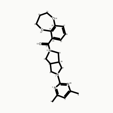 Cc1cc(C)nc(N2CC3CN(C(=O)c4cccc5c4OCCCO5)CC3C2)n1